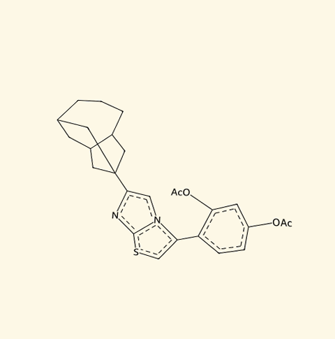 CC(=O)Oc1ccc(-c2csc3nc(C45CC6CCCC(C4)C(C6)C5)cn23)c(OC(C)=O)c1